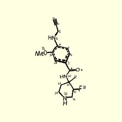 C#CCNc1ccc(C(=O)NC2(C)CCNCC2F)cc1OC